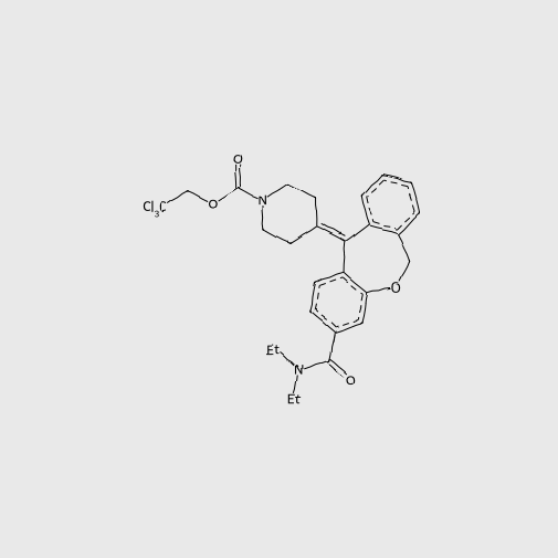 CCN(CC)C(=O)c1ccc2c(c1)OCc1ccccc1C2=C1CCN(C(=O)OCC(Cl)(Cl)Cl)CC1